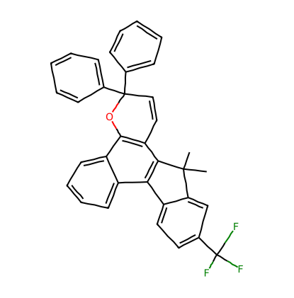 CC1(C)c2cc(C(F)(F)F)ccc2-c2c1c1c(c3ccccc23)OC(c2ccccc2)(c2ccccc2)C=C1